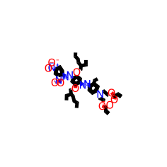 C=CC(=O)OCCN(CCOC(=O)C=C)c1ccc(/N=N/c2cc(OCC(CC)CCCC)c(/N=N/c3ccc([N+](=O)[O-])cc3[N+](=O)[O-])cc2OCC(CC)CCCC)c(CC)c1